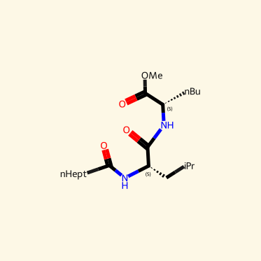 CCCCCCCC(=O)N[C@@H](CC(C)C)C(=O)N[C@@H](CCCC)C(=O)OC